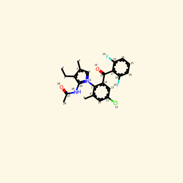 CCc1c(C)cn(-c2c(C)cc(Cl)cc2C(=O)c2c(F)cccc2F)c1NC(C)=O